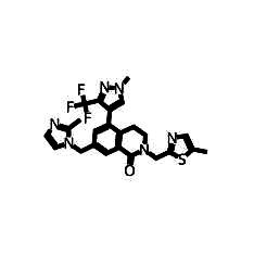 Cc1cnc(CN2CCc3c(cc(Cn4ccnc4C)cc3-c3cn(C)nc3C(F)(F)F)C2=O)s1